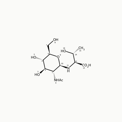 CC(=O)N[C@@H]1[C@@H](O)[C@H](O)[C@@H](CO)O[C@H]1N[C@H](C(=O)O)[C@@H](C)O